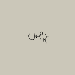 CC1CCN(C(=O)CN(C)C(C)C)CC1